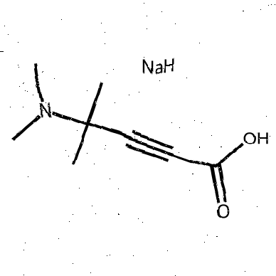 CN(C)C(C)(C)C#CC(=O)O.[NaH]